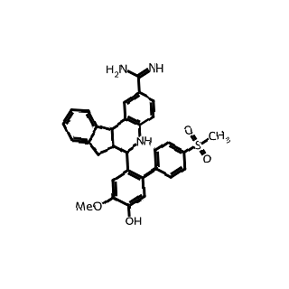 COc1cc(C2Nc3ccc(C(=N)N)cc3C3c4ccccc4CC23)c(-c2ccc(S(C)(=O)=O)cc2)cc1O